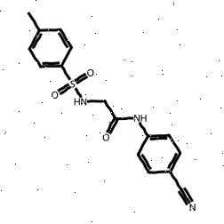 Cc1ccc(S(=O)(=O)NCC(=O)Nc2ccc(C#N)cc2)cc1